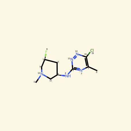 Cc1nc(N[C@@H]2C[C@H](F)CN(C)C2)nnc1Cl